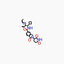 C=C/C(=N\C=C/C)[C@H](NC(=O)c1ccc2c(c1)CN(C1CCC(=O)NC1=O)C2=O)C1CCC1